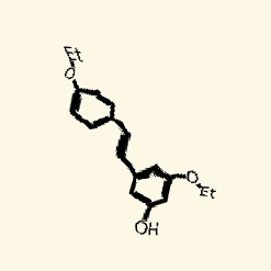 CCOc1ccc(/C=C/c2cc(O)cc(OCC)c2)cc1